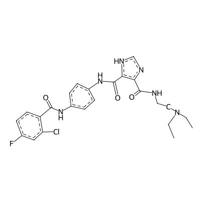 CCN(CC)CCNC(=O)c1nc[nH]c1C(=O)Nc1ccc(NC(=O)c2ccc(F)cc2Cl)cc1